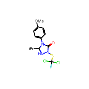 COc1ccc(N2C(=O)N(SC(F)(Cl)Cl)NC2C(C)C)cc1